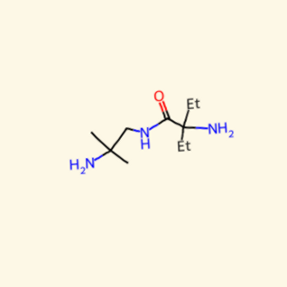 CCC(N)(CC)C(=O)NCC(C)(C)N